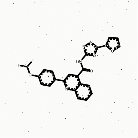 O=C(Nc1nnc(-c2ccco2)o1)c1cc(-c2ccc(OC(F)F)cc2)nc2ccccc12